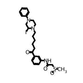 C[S+]([O-])CC(=O)Nc1cccc(C(=O)CCCCCN2CCN(c3ccccc3)CC2I)c1